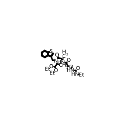 CCNC(=O)NOCC(=O)N[C@@H](C)C(=O)N(Cc1csc2ccccc12)[C@@H](C)C(OCC)OCC